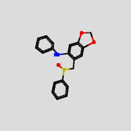 [O-][S+](Cc1cc2c(cc1Nc1ccccc1)OCO2)c1ccccc1